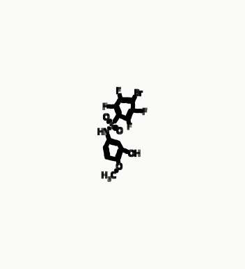 COc1ccc(NS(=O)(=O)c2c(F)c(F)c(Br)c(F)c2F)cc1O